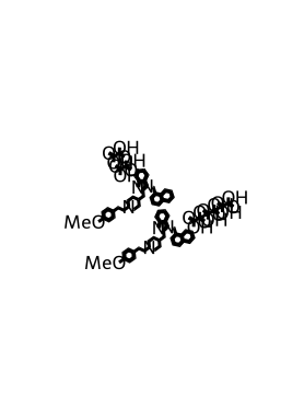 COc1ccc(CCN2CCC(Cc3nc4ccccc4n3Cc3cccc4ccccc34)CC2)cc1.COc1ccc(CCN2CCC(Cc3nc4ccccc4n3Cc3cccc4ccccc34)CC2)cc1.O=C(O)C(=O)O.O=C(O)C(=O)O.O=C(O)C(=O)O.O=C(O)C(=O)O.O=C(O)C(=O)O